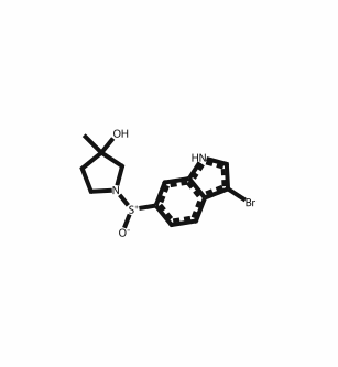 CC1(O)CCN([S+]([O-])c2ccc3c(Br)c[nH]c3c2)C1